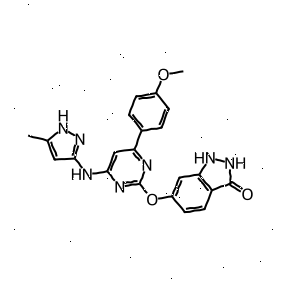 COc1ccc(-c2cc(Nc3cc(C)[nH]n3)nc(Oc3ccc4c(=O)[nH][nH]c4c3)n2)cc1